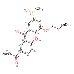 CCCCCCCCCCCCOc1cc([S+](C)[O-])cc2c(=O)c3cc(C(=O)OC)ccc3oc12